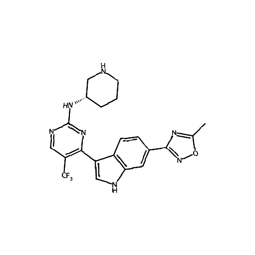 Cc1nc(-c2ccc3c(-c4nc(N[C@H]5CCCNC5)ncc4C(F)(F)F)c[nH]c3c2)no1